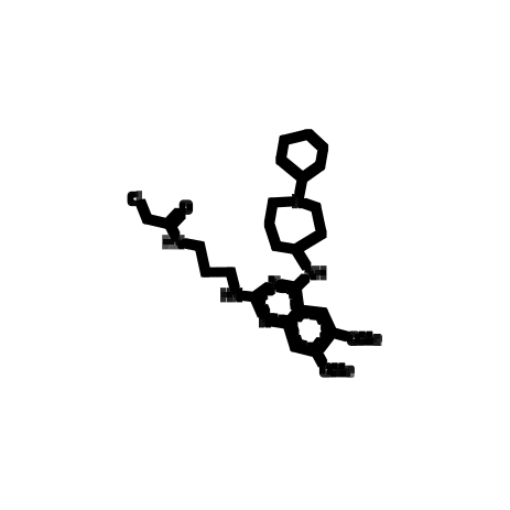 COc1cc2nc(NCCCNC(=O)CCl)nc(NC3CCCN(C4CCCCC4)CC3)c2cc1OC